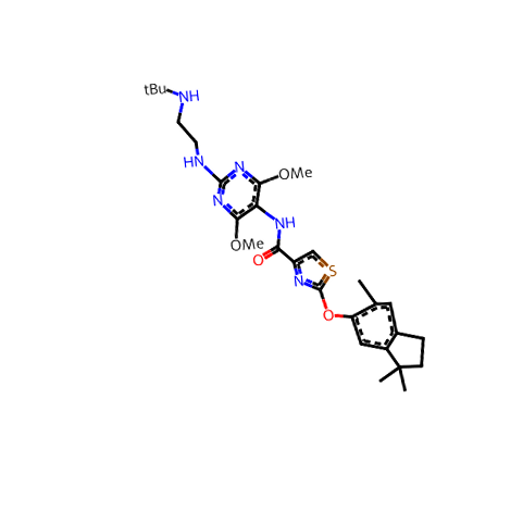 COc1nc(NCCNC(C)(C)C)nc(OC)c1NC(=O)c1csc(Oc2cc3c(cc2C)CCC3(C)C)n1